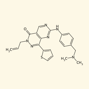 C=CCn1nc(-c2cccs2)c2nc(Nc3ccc(CN(C)C)cc3)ncc2c1=O